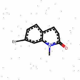 CCc1ccc2ccc(=O)n(C)c2c1